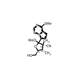 COC1(c2ccc3c(SC)ncnn23)O[C@H](CO)[C@@H](C)[C@@]1(C)C#N